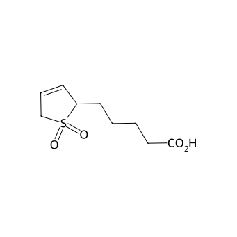 O=C(O)CCCCC1C=CCS1(=O)=O